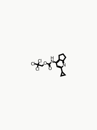 O=C(Nc1cc(C2CC2)nc2c1CCC2)OCC(Cl)(Cl)Cl